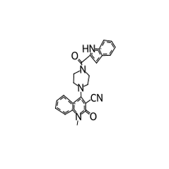 Cn1c(=O)c(C#N)c(N2CCN(C(=O)c3cc4ccccc4[nH]3)CC2)c2ccccc21